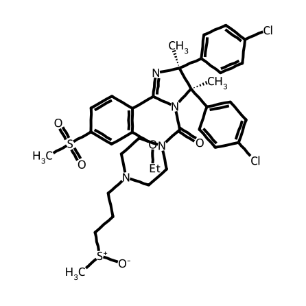 CCOc1cc(S(C)(=O)=O)ccc1C1=N[C@@](C)(c2ccc(Cl)cc2)[C@@](C)(c2ccc(Cl)cc2)N1C(=O)N1CCN(CCC[S+](C)[O-])CC1